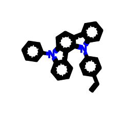 C=Cc1ccc(-n2c3ccccc3c3ccc4c(c5ccccc5n4-c4ccccc4)c32)cc1